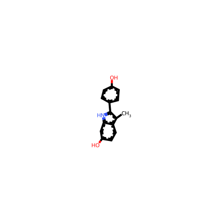 Cc1c(-c2ccc(O)cc2)[nH]c2cc(O)ccc12